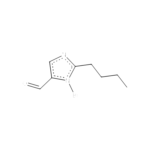 CCCCc1ncc(C=O)n1Br